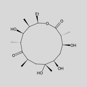 CC[C@H]1OC(=O)[C@H](C)[C@@H](O)C[C@@H](O)[C@](C)(O)C[C@@H](C)C(=O)[C@H](C)[C@@H](O)[C@H]1C